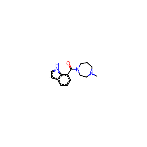 CN1CCCN(C(=O)c2cccc3[c]c[nH]c23)CC1